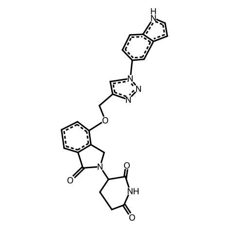 O=C1CCC(N2Cc3c(OCc4cn(-c5ccc6[nH]ccc6c5)nn4)cccc3C2=O)C(=O)N1